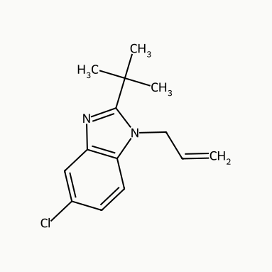 C=CCn1c(C(C)(C)C)nc2cc(Cl)ccc21